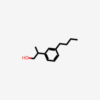 CCCCc1cccc([C](C)CO)c1